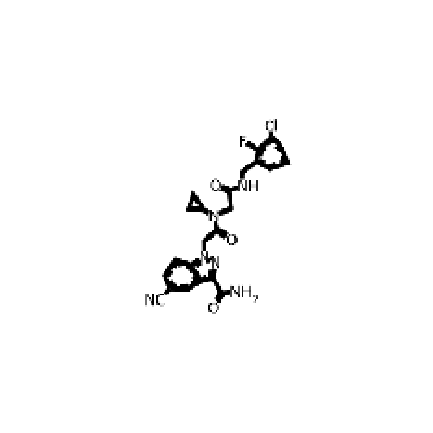 N#Cc1ccc2c(c1)c(C(N)=O)nn2CC(=O)N(CC(=O)NCc1cccc(Cl)c1F)C1CC1